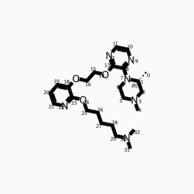 C[C@@H]1CN(C)CCN1c1nccnc1OCCOc1cccnc1OCCCCCN(C)C